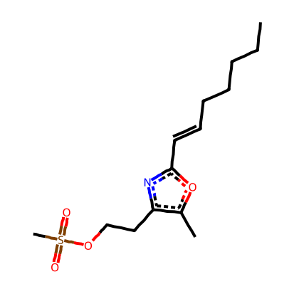 CCCCCC=Cc1nc(CCOS(C)(=O)=O)c(C)o1